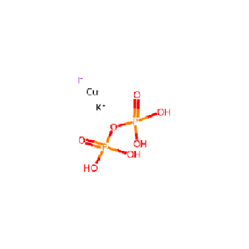 O=P(O)(O)OP(=O)(O)O.[Cu].[I-].[K+]